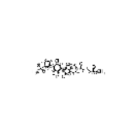 COC(=O)CCCC(=O)N1CCC2(CC1)OC(=O)C(c1cc(Cl)c(-c3cccc(S(C)(=O)=O)c3)cc1C)=C2O